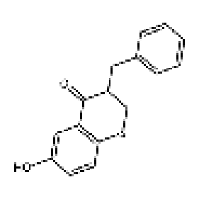 O=C1c2cc(O)ccc2SCC1Cc1ccccc1